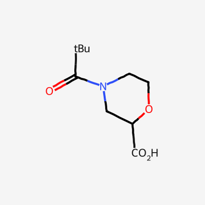 CC(C)(C)C(=O)N1CCOC(C(=O)O)C1